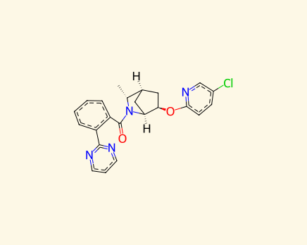 C[C@@H]1[C@H]2C[C@@H](Oc3ccc(Cl)cn3)[C@H](C2)N1C(=O)c1ccccc1-c1ncccn1